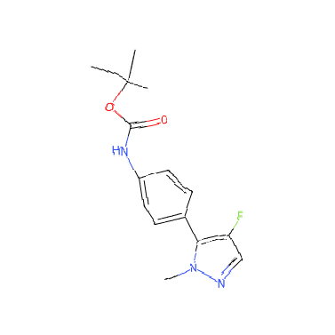 Cn1ncc(F)c1-c1ccc(NC(=O)OC(C)(C)C)cc1